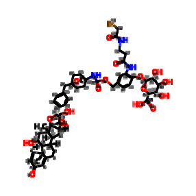 C[C@]12C=CC(=O)C=C1CC[C@@H]1[C@@H]2[C@@H](O)C[C@@]2(C)[C@H]1C[C@H]1O[C@@H](c3ccc(CC45CCC(NC(=O)OCc6ccc(O[C@@H]7O[C@H](C(=O)O)[C@@H](O)[C@H](O)[C@H]7O)c(NC(=O)CCNC(=O)CBr)c6)(CC4)CO5)cc3)O[C@]12C(=O)CO